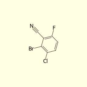 N#Cc1c(F)ccc(Cl)c1Br